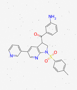 Cc1ccc(S(=O)(=O)N2CC(C(=O)c3cccc(N)c3)c3cc(-c4cccnc4)cnc32)cc1